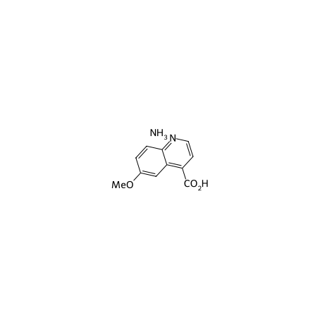 COc1ccc2nccc(C(=O)O)c2c1.N